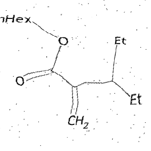 C=C(C(=O)OCCCCCC)C(CC)CC